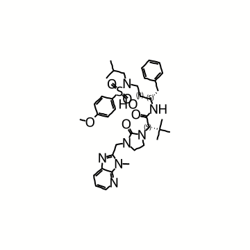 COc1ccc(S(=O)(=O)N(CC(C)C)C[C@@H](O)[C@H](Cc2ccccc2)NC(=O)[C@@H](N2CCN(Cc3nc4cccnc4n3C)C2=O)C(C)(C)C)cc1